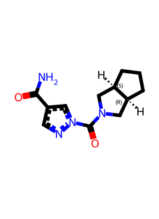 NC(=O)c1cnn(C(=O)N2C[C@H]3CCC[C@H]3C2)c1